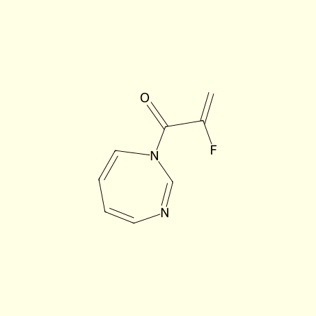 C=C(F)C(=O)N1C=CC=CN=C1